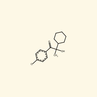 CC(O)(C(=O)c1ccc(Cl)cc1)C1CCCCC1